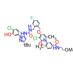 COCCNC(=O)c1ccc(C)c(-n2c(C)cc(OCc3ccc(F)cc3CNC(=O)Nc3cc(C(C)(C)C)nn3-c3ccc(Cl)c(O)c3)c(Cl)c2=O)c1